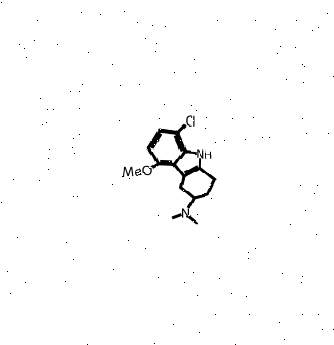 COc1ccc(Cl)c2[nH]c3c(c12)CC(N(C)C)CC3